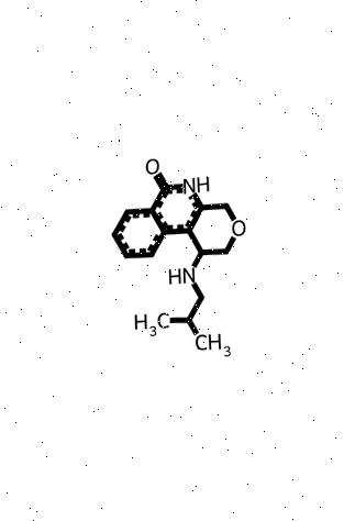 CC(C)CNC1COCc2[nH]c(=O)c3ccccc3c21